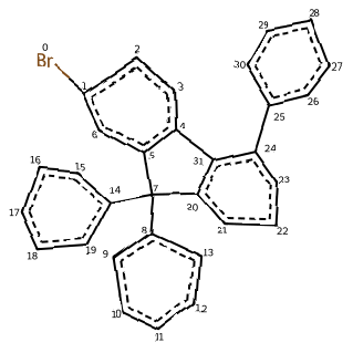 Brc1ccc2c(c1)C(c1ccccc1)(c1ccccc1)c1cccc(-c3ccccc3)c1-2